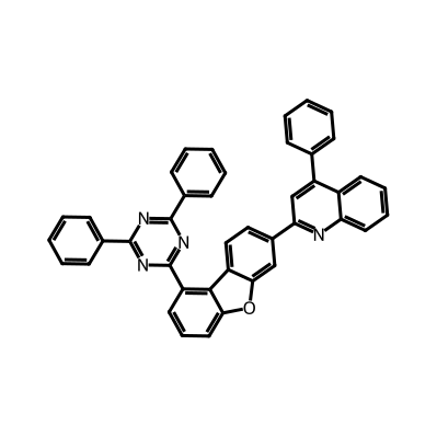 c1ccc(-c2nc(-c3ccccc3)nc(-c3cccc4oc5cc(-c6cc(-c7ccccc7)c7ccccc7n6)ccc5c34)n2)cc1